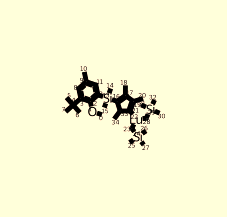 COc1c(C(C)(C)C)cc(C)cc1[Si](C)(C)C1=C(C)C(C)=[C]([Lu]([CH2][Si](C)(C)C)[CH2][Si](C)(C)C)C1C